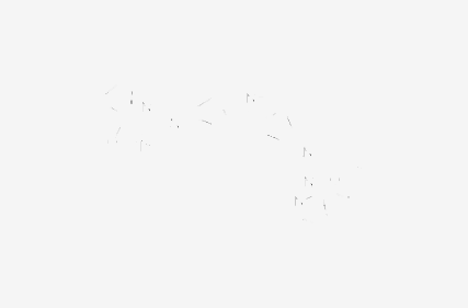 CCN(Cc1ccc(CN2CCN(c3ccccc3C(=O)OC(C)C)CC2)cc1)Cc1ccc(CN2CCN(c3ncccc3C(=O)OC(C)C)CC2)cc1